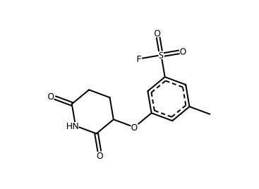 Cc1cc(OC2CCC(=O)NC2=O)cc(S(=O)(=O)F)c1